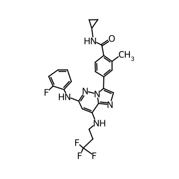 Cc1cc(-c2cnc3c(NCCC(F)(F)F)cc(Nc4ccccc4F)nn23)ccc1C(=O)NC1CC1